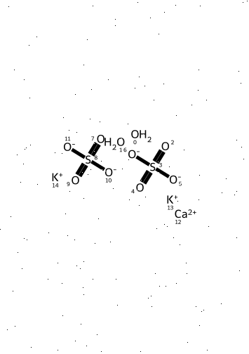 O.O.O=S(=O)([O-])[O-].O=S(=O)([O-])[O-].[Ca+2].[K+].[K+]